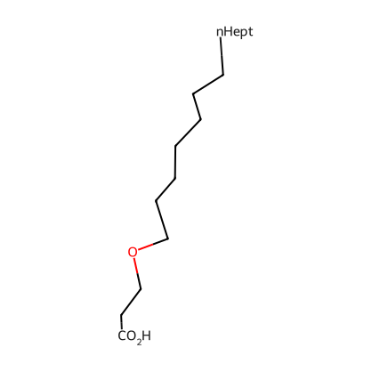 CCCCCCCCCCCCCCOCCC(=O)O